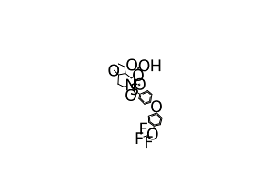 O=C(O)OC1C2CCOC2CCN1S(=O)(=O)c1ccc(Oc2ccc(OC(F)(F)F)cc2)cc1